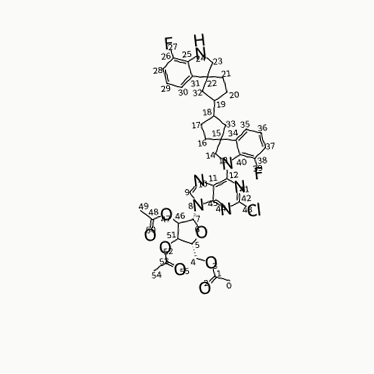 CC(=O)OC[C@H]1O[C@@H](n2cnc3c(N4CC5(CCC(C6CCC7(CNc8c(F)cccc87)C6)C5)c5cccc(F)c54)nc(Cl)nc32)C(OC(C)=O)C1OC(C)=O